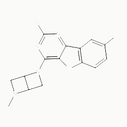 CN1CC2[C@H]1CN2c1nc(N)nc2c1oc1ccc(Cl)cc12